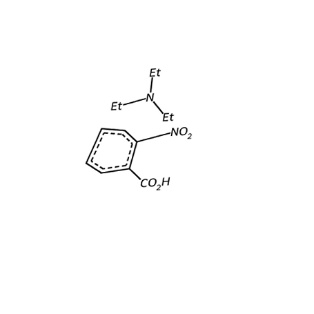 CCN(CC)CC.O=C(O)c1ccccc1[N+](=O)[O-]